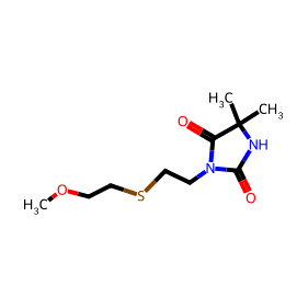 COCCSCCN1C(=O)NC(C)(C)C1=O